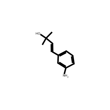 CC(C)(O)/C=C/c1cccc(N)c1